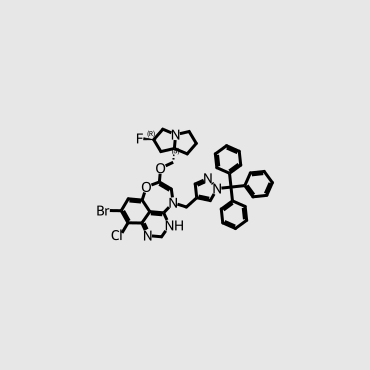 F[C@H]1CN2CCC[C@@]2(COC2=CN(Cc3cnn(C(c4ccccc4)(c4ccccc4)c4ccccc4)c3)C3=c4c(cc(Br)c(Cl)c4=NCN3)O2)C1